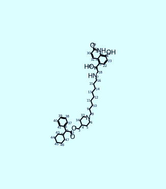 O=C(OCC1CCN(CCCCCCCCCNC[C@@H](O)c2ccc(O)c3[nH]c(=O)ccc23)CC1)C(c1ccccc1)C1CCCCC1